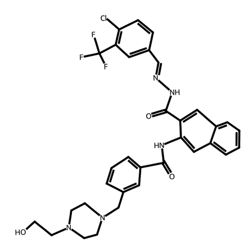 O=C(Nc1cc2ccccc2cc1C(=O)NN=Cc1ccc(Cl)c(C(F)(F)F)c1)c1cccc(CN2CCN(CCO)CC2)c1